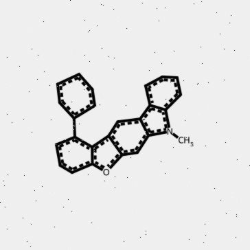 Cn1c2ccccc2c2cc3c(cc21)oc1cccc(-c2ccccc2)c13